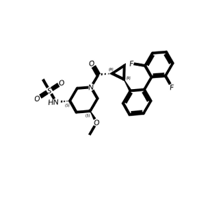 CO[C@H]1C[C@H](NS(C)(=O)=O)CN(C(=O)[C@@H]2C[C@H]2c2ccccc2-c2c(F)cccc2F)C1